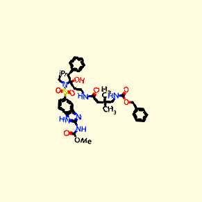 COC(=O)Nc1nc2cc(S(=O)(=O)N(CC(C)C)C(O)(CCNC(=O)CC(C)(C)CNC(=O)OCc3ccccc3)Cc3ccccc3)ccc2[nH]1